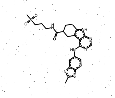 Cc1nc2cc(Nc3ncnc4[nH]c5c(c34)CC(C(=O)NCCCS(C)(=O)=O)CC5)ccc2s1